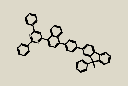 CC1(c2ccccc2)c2ccccc2-c2ccc(-c3ccc(-c4ccc(-c5cc(-c6ccccc6)nc(-c6ccccc6)n5)c5ccccc45)cc3)cc21